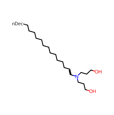 CCCCCCCCCCCCCCCCCCCCCCC=CN(CCCO)CCCO